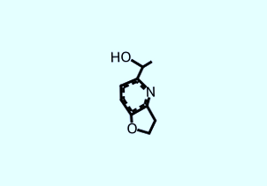 CC(O)c1ccc2c(n1)CCO2